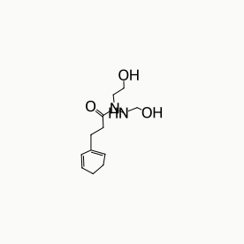 O=C(CCC1=CCCC=C1)N(CCO)NCO